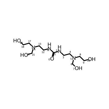 O=C(NCCN(CO)CCO)NCCN(CO)CCO